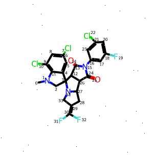 CN1CC2(c3cc(Cl)cc(Cl)c31)C1C(=O)N(c3cc(F)cc(Cl)c3)C(=O)C1C1CC(=C(F)F)CN12